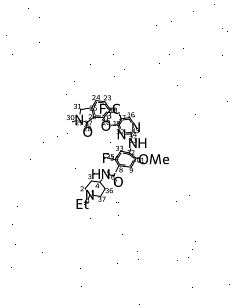 CCN1CCC(NC(=O)c2cc(OC)c(Nc3ncc(C(F)(F)F)c(Oc4cccc5c4C(=O)N(C)C5)n3)cc2F)CC1